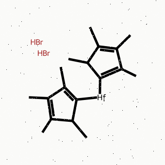 Br.Br.CC1=C(C)C(C)[C]([Hf][C]2=C(C)C(C)=C(C)C2C)=C1C